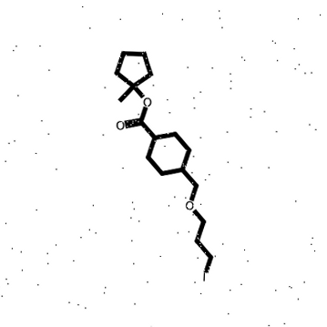 CC1(OC(=O)C2CCC(COCCCI)CC2)CCCC1